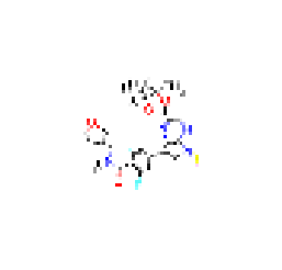 CN(CC1CCOC1)C(=O)c1c(F)cc(-c2cn(SI)c3ncc(B4OC(C)(C)C(C)(C)O4)nc23)cc1F